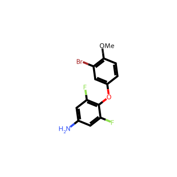 COc1ccc(Oc2c(F)cc(N)cc2F)cc1Br